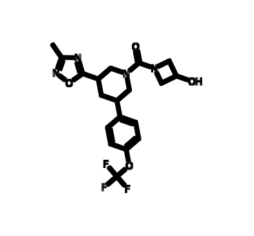 Cc1noc(C2CC(c3ccc(OC(F)(F)F)cc3)CN(C(=O)N3CC(O)C3)C2)n1